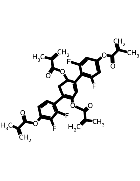 C=C(C)C(=O)OC1=C(c2ccc(OC(=O)C(=C)C)c(F)c2F)CC(OC(=O)C(=C)C)C(c2c(F)cc(OC(=O)C(=C)C)cc2F)=C1